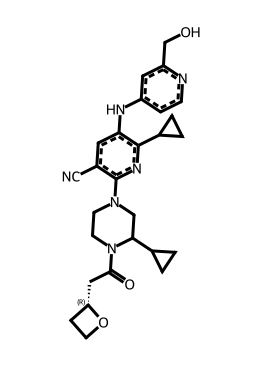 N#Cc1cc(Nc2ccnc(CO)c2)c(C2CC2)nc1N1CCN(C(=O)C[C@H]2CCO2)C(C2CC2)C1